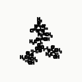 COC(COP(=O)(OCCSC(=O)C(C)(C)CO)OCCSC(=O)C(C)(C)CO)[C@H](O)C(F)[C@H](C)n1cnc2c(N)nc(Cl)nc21